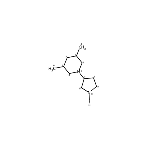 CC1CC(C)CN(C2CCN(I)C2)C1